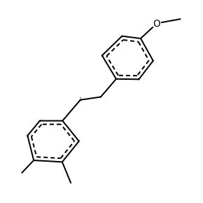 COc1ccc(C[CH]c2ccc(C)c(C)c2)cc1